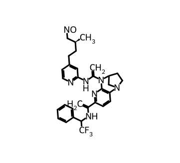 C=C(NC(c1ccccc1)C(F)(F)F)c1ccc2c(n1)N(C(=C)Nc1cc(CC[C@H](C)CN=O)ccn1)C1CCN2C1